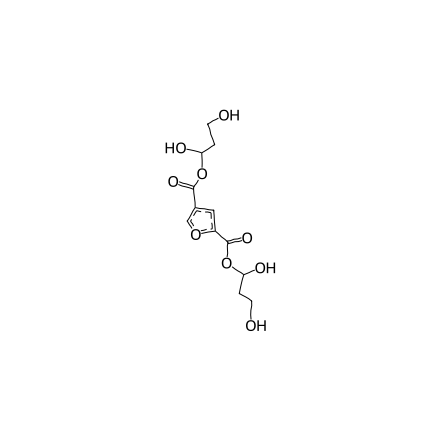 O=C(OC(O)CCO)c1coc(C(=O)OC(O)CCO)c1